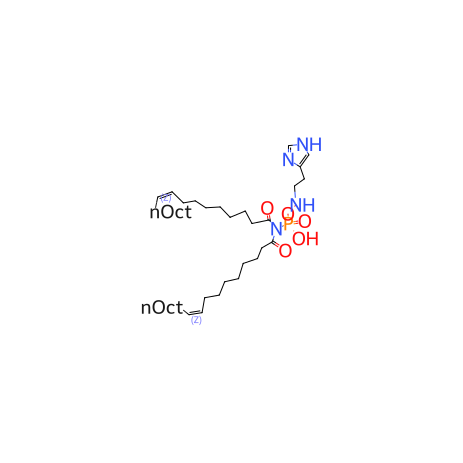 CCCCCCCC/C=C\CCCCCCCC(=O)N(C(=O)CCCCCCC/C=C\CCCCCCCC)P(=O)(O)ONCCc1c[nH]cn1